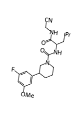 COc1cc(F)cc(C2CCCN(C(=O)NC(CC(C)C)C(=O)NCC#N)C2)c1